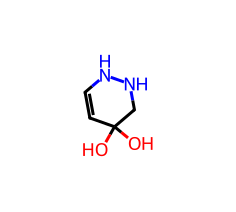 OC1(O)C=CNNC1